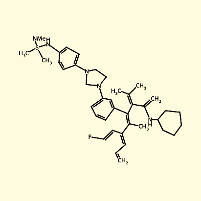 C=C/C=C(\C=C\F)C(/C)=C(/C(C(=C)NC1CCCCC1)=C(C)C)c1cccc(N2CCN(c3ccc(NS(C)(C)NC)cc3)C2)c1